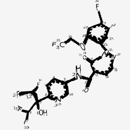 O=C(Nc1ccc(C(O)(C(F)F)C(F)F)nc1)c1ccnn(-c2ccc(F)cc2OCC(F)(F)F)c1=O